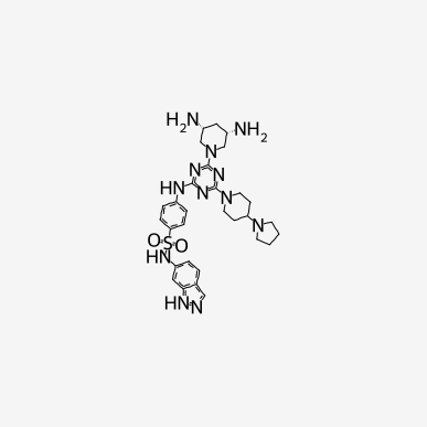 N[C@@H]1C[C@H](N)CN(c2nc(Nc3ccc(S(=O)(=O)Nc4ccc5cn[nH]c5c4)cc3)nc(N3CCC(N4CCCC4)CC3)n2)C1